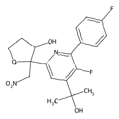 CC(C)(O)c1cc(C2(C[N+](=O)[O-])OCCC2O)nc(-c2ccc(F)cc2)c1F